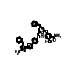 NC(=O)c1cc(OCCN(Cc2ccccc2)CC(O)COc2ccc(-c3ccc(-c4nc(C(F)(F)F)cn4Cc4ccccc4)o3)cc2)ccc1O